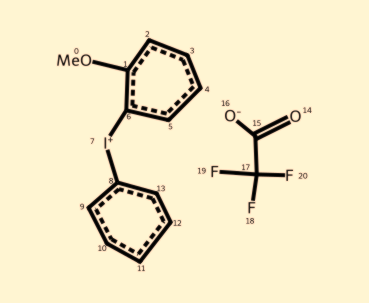 COc1ccccc1[I+]c1ccccc1.O=C([O-])C(F)(F)F